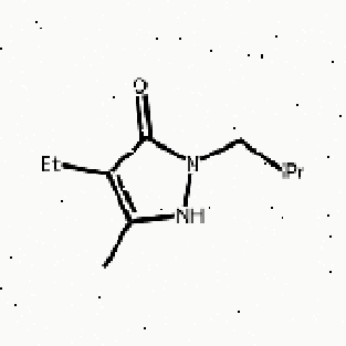 CCc1c(C)[nH]n(CC(C)C)c1=O